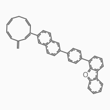 C=C1/C=C\C=C/C/C=C\C(c2ccc3cc(-c4ccc(-c5cccc6c5oc5ccccc56)cc4)ccc3c2)=C/1